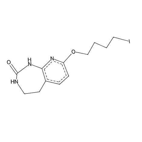 O=C1NCCc2ccc(OCCCCI)nc2N1